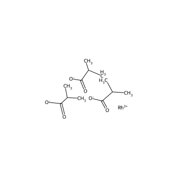 CC(C)C(=O)[O-].CC(C)C(=O)[O-].CC(C)C(=O)[O-].[Rh+3]